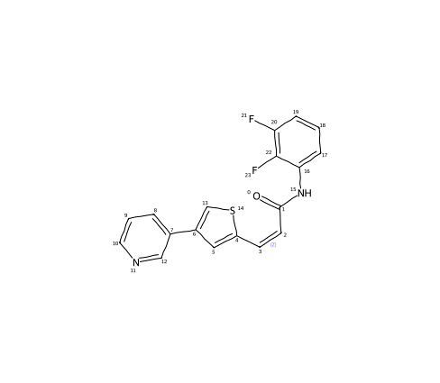 O=C(/C=C\c1cc(-c2cccnc2)cs1)Nc1cccc(F)c1F